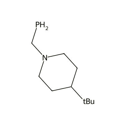 CC(C)(C)C1CCN(CP)CC1